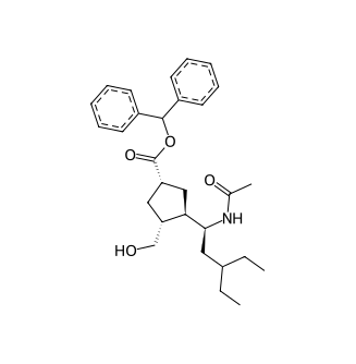 CCC(CC)C[C@H](NC(C)=O)[C@@H]1C[C@@H](C(=O)OC(c2ccccc2)c2ccccc2)C[C@H]1CO